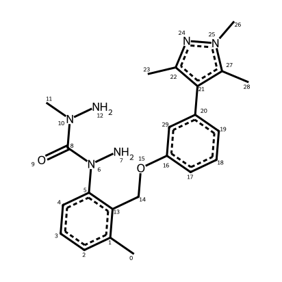 Cc1cccc(N(N)C(=O)N(C)N)c1COc1cccc(-c2c(C)nn(C)c2C)c1